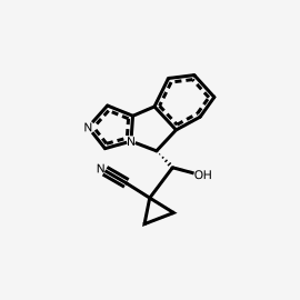 N#CC1(C(O)[C@H]2c3ccccc3-c3cncn32)CC1